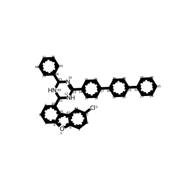 Clc1ccc2oc3cccc(C4NC(c5ccc(-c6ccc(-c7ccccc7)cc6)cc5)=NC(c5ccccc5)N4)c3c2c1